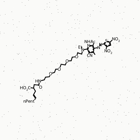 CCCCC/C=C/CC(CC(=O)NCCCOCCOCCOCCOCCN(CC)c1nc(NC(C)=O)c(/N=N/c2sc([N+](=O)[O-])cc2[N+](=O)[O-])c(C)c1C#N)C(=O)O